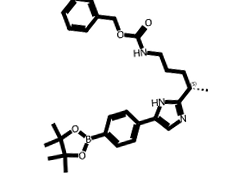 C[C@@H](CCCNC(=O)OCc1ccccc1)c1ncc(-c2ccc(B3OC(C)(C)C(C)(C)O3)cc2)[nH]1